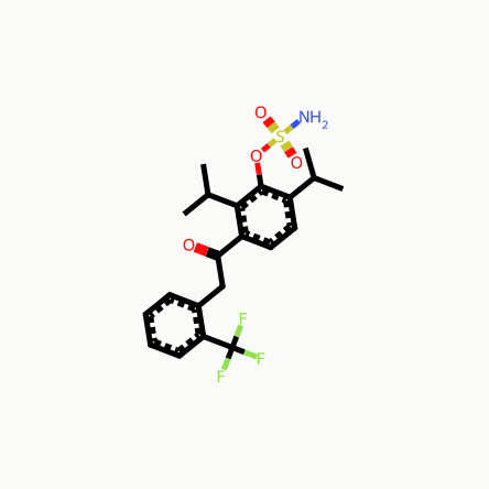 CC(C)c1ccc(C(=O)Cc2ccccc2C(F)(F)F)c(C(C)C)c1OS(N)(=O)=O